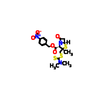 CN(C)C(=S)SC[C@]1(C)S[C@@H]2CC(=O)N2[C@H]1C(=O)OCc1ccc([N+](=O)[O-])cc1